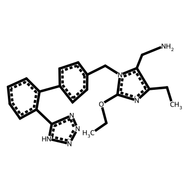 CCOc1nc(CC)c(CN)n1Cc1ccc(-c2ccccc2-c2nnn[nH]2)cc1